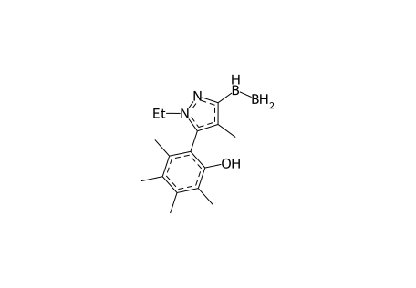 BBc1nn(CC)c(-c2c(C)c(C)c(C)c(C)c2O)c1C